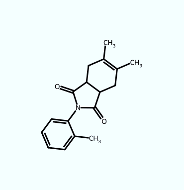 CC1=C(C)CC2C(=O)N(c3ccccc3C)C(=O)C2C1